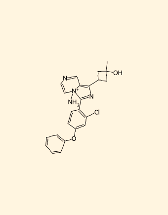 CC1(O)CC(C2=C3C=NC=C[N+]3(N)C(c3ccc(Oc4ccccc4)cc3Cl)=N2)C1